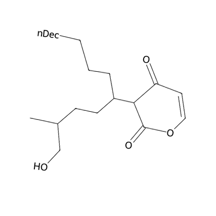 CCCCCCCCCCCCCC(CCC(C)CO)C1C(=O)C=COC1=O